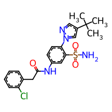 CC(C)(C)c1cnn(-c2ccc(NC(=O)Cc3ccccc3Cl)cc2S(N)(=O)=O)c1